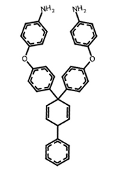 Nc1ccc(Oc2ccc(C3(c4ccc(Oc5ccc(N)cc5)cc4)C=CC(c4ccccc4)C=C3)cc2)cc1